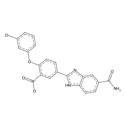 NC(=O)c1ccc2[nH]c(-c3ccc(Oc4cccc(Cl)c4)c([N+](=O)[O-])c3)nc2c1